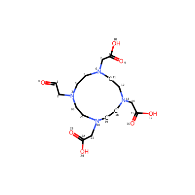 O=CCN1CCN(CC(=O)O)CCN(CC(=O)O)CCN(CC(=O)O)CC1